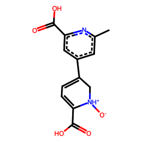 Cc1cc(C2=CC=C(C(=O)O)[NH+]([O-])C2)cc(C(=O)O)n1